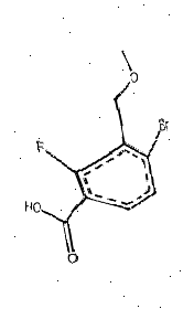 COCc1c(Br)ccc(C(=O)O)c1F